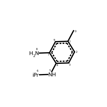 Cc1ccc(NC(C)C)c(N)c1